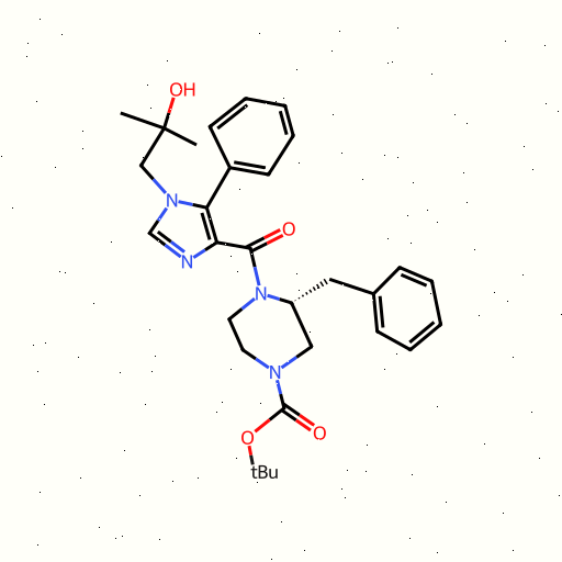 CC(C)(O)Cn1cnc(C(=O)N2CCN(C(=O)OC(C)(C)C)C[C@H]2Cc2ccccc2)c1-c1ccccc1